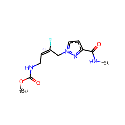 CCNC(=O)c1ccn(C/C(F)=C\CNC(=O)OC(C)(C)C)n1